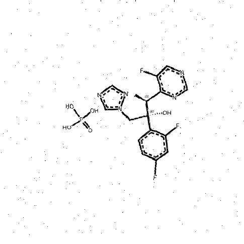 C[C@@H](c1ncncc1F)[C@](O)(Cn1cncn1)c1ccc(F)cc1F.O=P(O)(O)O